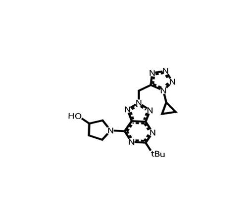 CC(C)(C)c1nc(N2CCC(O)C2)c2nn(Cc3nnnn3C3CC3)nc2n1